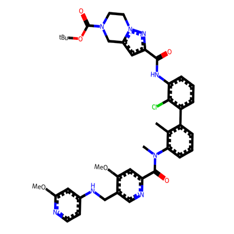 COc1cc(NCc2cnc(C(=O)N(C)c3cccc(-c4cccc(NC(=O)c5cc6n(n5)CCN(C(=O)OC(C)(C)C)C6)c4Cl)c3C)cc2OC)ccn1